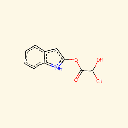 O=C(Oc1cc2ccccc2[nH]1)C(O)O